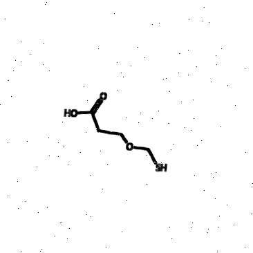 O=C(O)CCOCS